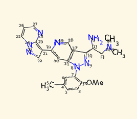 COc1ccc(C)cc1-n1nc(C(N)CN(C)C)c2cnc(-c3cnn4cccnc34)cc21